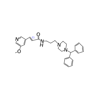 COc1cncc(/C=C/C(=O)NCCCN2CCN(C(c3ccccc3)c3ccccc3)CC2)c1